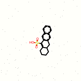 O=S(=O)(O)C1=C2CCCCC2Cc2cc3ccccc3cc21